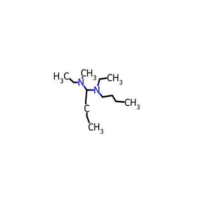 CCCCC(N(C)CC)N(CC)CCCC